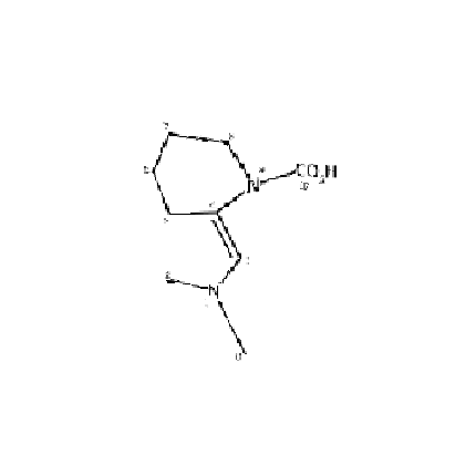 CN(C)C=C1CCCCN1C(=O)O